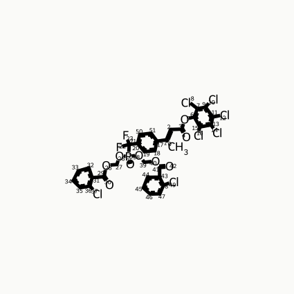 C/C(=C\C(=O)Oc1c(Cl)c(Cl)c(Cl)c(Cl)c1Cl)c1ccc(C(F)(F)P(=O)(OCOC(=O)c2ccccc2Cl)OCOC(=O)c2ccccc2Cl)cc1